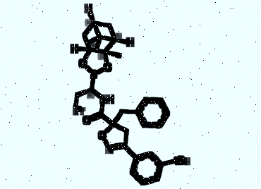 CC(C)C[C@H](NC(=O)C1(Cc2ccccc2)CC(c2cccc(C(C)(C)C)c2)=NO1)B1O[C@@H]2C[C@@H]3C[C@@H](C3(C)C)[C@]2(C)O1